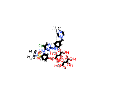 CN1CCN(Cc2ccc(Nc3ncc(Cl)c(Nc4ccccc4S(=O)(=O)N(C)C)n3)cc2)CC1.O=C(O)C(O)C(O)C(=O)O.O=C(O)C(O)C(O)C(=O)O